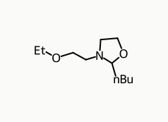 CCCCC1OCCN1CCOCC